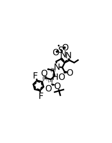 CCc1nn(S(C)(=O)=O)c2c1C(C(=O)O)N([C@H]1CO[C@@H](c3cc(F)ccc3F)[C@@H](C(=O)OC(C)(C)C)C1)C2